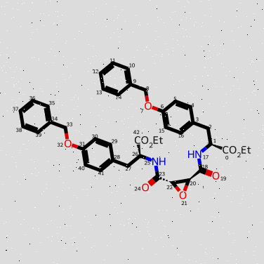 CCOC(=O)[C@H](Cc1ccc(OCc2ccccc2)cc1)NC(=O)[C@H]1O[C@@H]1C(=O)N[C@@H](Cc1ccc(OCc2ccccc2)cc1)C(=O)OCC